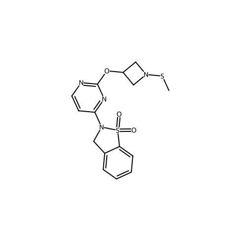 CSN1CC(Oc2nccc(N3Cc4ccccc4S3(=O)=O)n2)C1